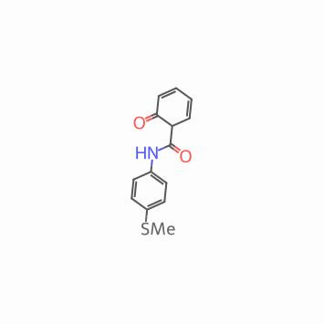 CSc1ccc(NC(=O)C2C=CC=CC2=O)cc1